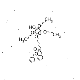 CCCCOCC1OC(OCCCCCN(Cc2ccccc2)C(=O)OCc2ccccc2)[C@@H](OCCCC)[C@@H](O)[C@H]1OCCCC